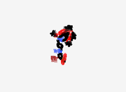 CC(C)(C)[Si](C)(C)OC[C@@H]1C(O[Si](C)(C)C(C)(C)C)C(O[Si](C)(C)C(C)(C)C)C(O[Si](C)(C)C(C)(C)C)CN1Cc1ccc(CNc2cc(Br)cc(S(C)(=O)=O)c2)cc1